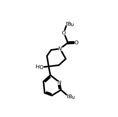 CC(C)(C)OC(=O)N1CCC(O)(c2cccc(C(C)(C)C)n2)CC1